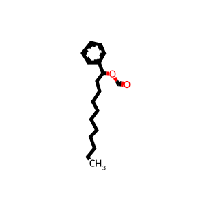 CCCCCCCCCCC(OC=O)c1ccccc1